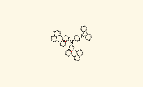 c1ccc(-c2cccc3cccc(-c4ccc(N(c5ccc(-n6c7ccccc7c7ccccc76)cc5)c5cccc(-c6cccc7cccc(-c8ccccc8)c67)c5)cc4)c23)cc1